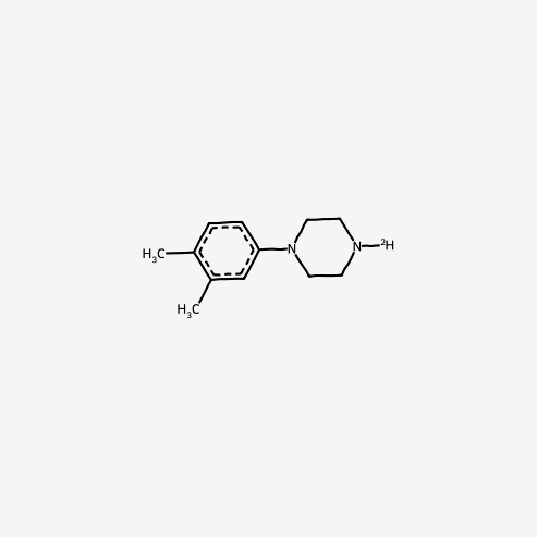 [2H]N1CCN(c2ccc(C)c(C)c2)CC1